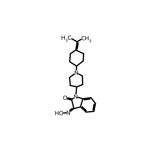 CC(C)=C1CCC(N2CCC(N3C(=O)C(=NO)c4ccccc43)CC2)CC1